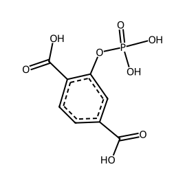 O=C(O)c1ccc(C(=O)O)c(OP(=O)(O)O)c1